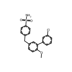 COc1ccc(Cc2ccc(S(N)(=O)=O)cc2)cc1-c1cccc(Cl)c1